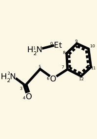 CCN.NC(=O)COc1ccccc1